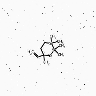 C=CC1(C)CC[Si](C)(C)[Si](C)(C)O1